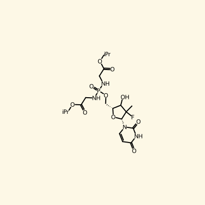 CC(C)OC(=O)CNP(=O)(NCC(=O)OC(C)C)OC[C@H]1O[C@@H](n2ccc(=O)[nH]c2=O)C(C)(F)C1O